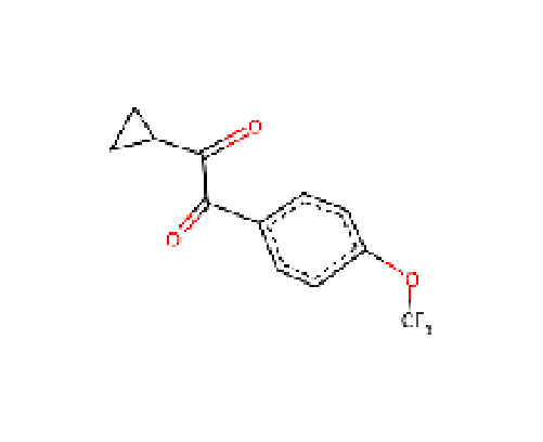 O=C(C(=O)C1CC1)c1ccc(OC(F)(F)F)cc1